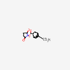 O=C(O)c1ccc(C(=O)ON2C(=O)CCC2=O)cc1